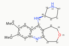 COc1cc2nc3c(c(N[C@@H]4CCCNC4)c2cc1OC)CCOCC3